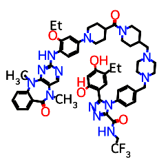 CCOc1cc(N2CCC(C(=O)N3CCC(CN4CCN(Cc5ccc(-n6c(C(=O)NCC(F)(F)F)nnc6-c6cc(CC)c(O)cc6O)cc5)CC4)CC3)CC2)ccc1Nc1ncc2c(n1)N(C)c1ccccc1C(=O)N2C